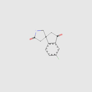 O=C1CC2(CN1)CC(=O)c1cc(Cl)ccc12